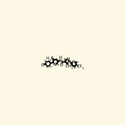 Cc1cc(NC(=O)c2cnn(-c3ccc(C(F)(F)F)cn3)c2C)cnc1C1CCC(=O)CC1